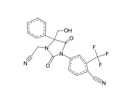 N#CCN1C(=O)N(c2ccc(C#N)c(C(F)(F)F)c2)C(=O)C1(CO)c1ccccc1